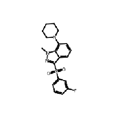 Cn1nc(S(=O)(=O)c2cccc(F)c2)c2cccc(N3CCCCC3)c21